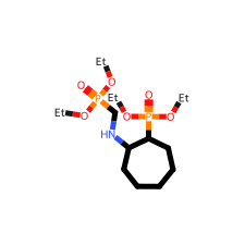 CCOP(=O)(CNC1CCCCCC1P(=O)(OCC)OCC)OCC